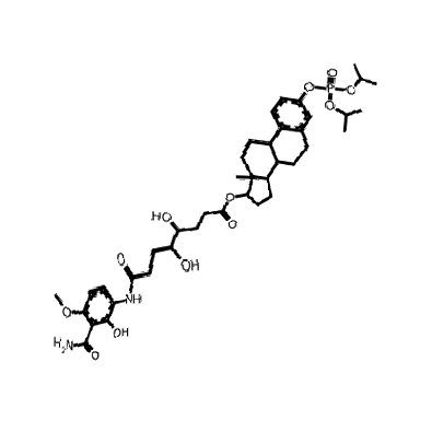 COc1ccc(NC(=O)CCC(O)C(O)CCC(=O)OC2CCC3C4CCc5cc(OP(=O)(OC(C)C)OC(C)C)ccc5C4CCC23C)c(O)c1C(N)=O